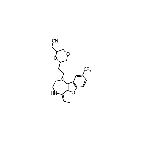 C/C=C1/NCCN(CCC2COCC(CC#N)O2)c2c1oc1ccc(C(F)(F)F)cc21